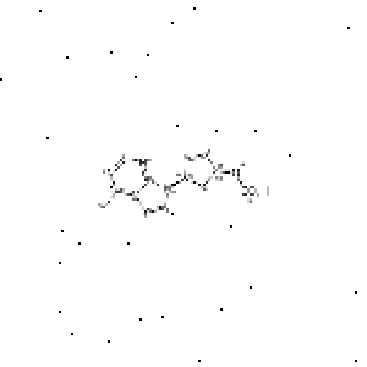 Cc1ncnc2c1ccn2[C@H]1C=C[C@@H](OC(=O)O)C1